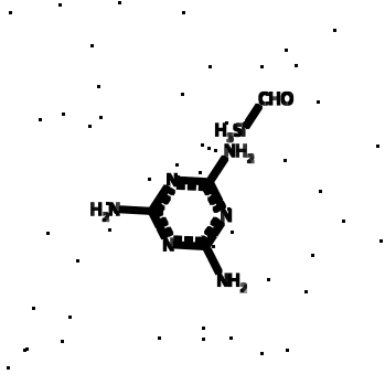 Nc1nc(N)nc(N)n1.O=C[SiH3]